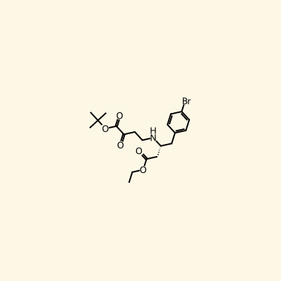 CCOC(=O)C[C@@H](Cc1ccc(Br)cc1)NCCC(=O)C(=O)OC(C)(C)C